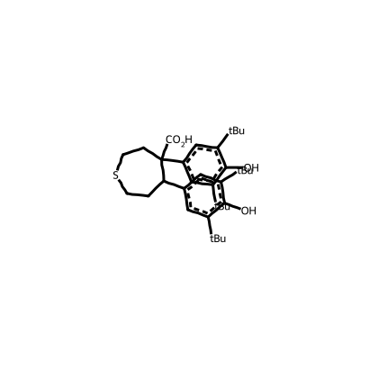 CC(C)(C)c1cc(C2CCSCCC2(C(=O)O)c2cc(C(C)(C)C)c(O)c(C(C)(C)C)c2)cc(C(C)(C)C)c1O